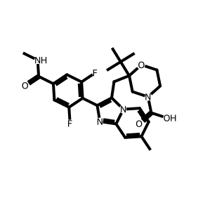 CNC(=O)c1cc(F)c(-c2nc3cc(C)ccn3c2CC2(C(C)(C)C)CN(C(=O)O)CCO2)c(F)c1